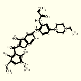 C=CC(=O)Nc1cc(N2CCN(CC)CC2)ccc1Nc1cc2c(O)c(C(=O)c3c(F)c(OC)cc(OC)c3F)oc2cn1